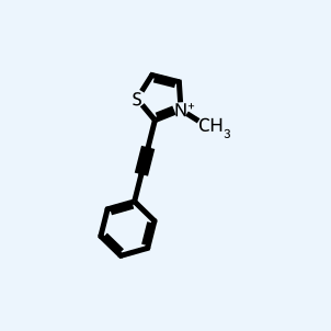 C[n+]1ccsc1C#Cc1ccccc1